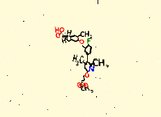 C=C1C=C2C(=CC1OCc1cc(-c3c(C)cc(OCCCS(C)(=O)=O)nc3C)ccc1F)C[C@H]1[C@H](C(=O)O)[C@@H]21